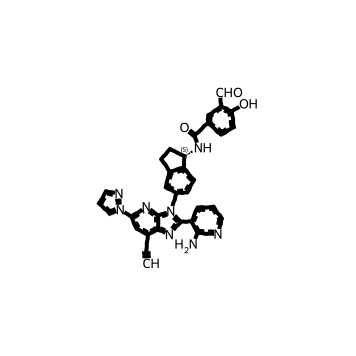 C#Cc1cc(-n2cccn2)nc2c1nc(-c1cccnc1N)n2-c1ccc2c(c1)CC[C@@H]2NC(=O)c1ccc(O)c(C=O)c1